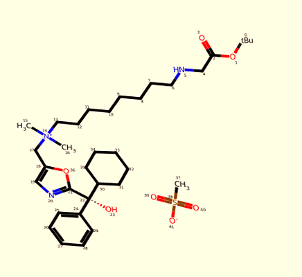 CC(C)(C)OC(=O)CNCCCCCCCC[N+](C)(C)Cc1cnc([C@](O)(c2ccccc2)C2CCCCC2)o1.CS(=O)(=O)[O-]